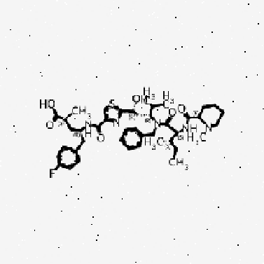 CC[C@H](C)[C@H](NC(=O)[C@H]1CCCCN1C)C(=O)N(Cc1ccccc1)[C@H](C[C@@H](O)c1nc(C(=O)N[C@@H](Cc2ccc(F)cc2)C[C@H](C)C(=O)O)cs1)C(C)C